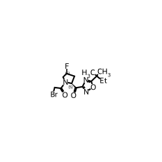 CCC(C)(C)c1nc(C(=O)[C@@H]2C[C@H](F)CN2C(=O)CBr)no1